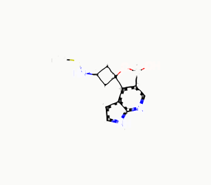 CCCSNC1CC2(C1)OB(O)c1cnc3[nH]ccc3c12